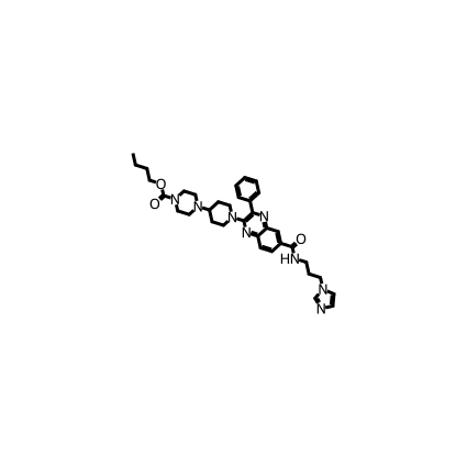 CCCCOC(=O)N1CCN(C2CCN(c3nc4ccc(C(=O)NCCCn5ccnc5)cc4nc3-c3ccccc3)CC2)CC1